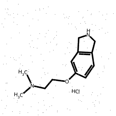 CN(C)CCOc1ccc2c(c1)CNC2.Cl